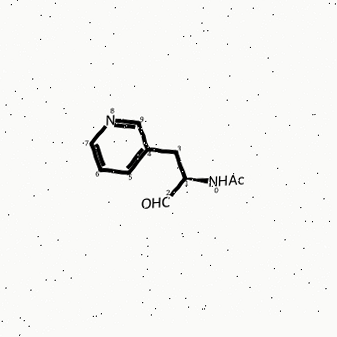 CC(=O)N[C@@H](C=O)Cc1cccnc1